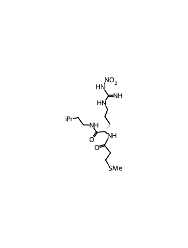 CSCCC(=O)N[C@@H](CCCNC(=N)N[N+](=O)[O-])C(=O)NCCC(C)C